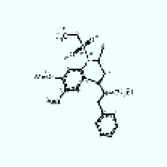 CCOC(=O)N(Cc1ccccc1)C1CC(C)N(S(=O)(=O)CC(F)(F)F)c2cc(OC)c(OC)cc21